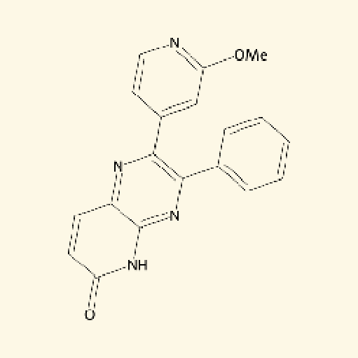 COc1cc(-c2nc3ccc(=O)[nH]c3nc2-c2ccccc2)ccn1